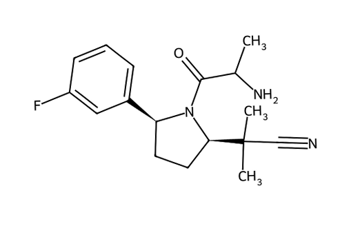 CC(N)C(=O)N1[C@H](c2cccc(F)c2)CC[C@@H]1C(C)(C)C#N